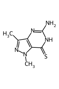 Cc1nn(C)c2c(=S)[nH]c(N)nc12